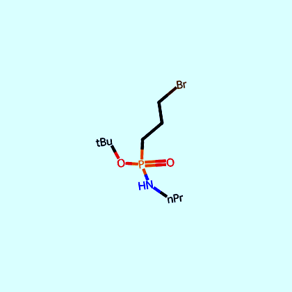 CCCNP(=O)(CCCBr)OC(C)(C)C